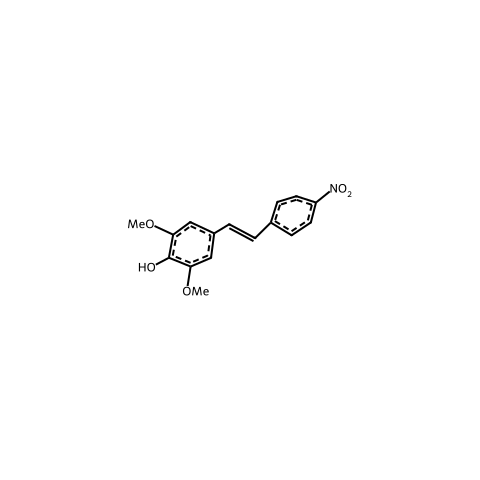 COc1cc(/C=C/c2ccc([N+](=O)[O-])cc2)cc(OC)c1O